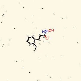 CCc1ccccc1C=CC(=O)NO